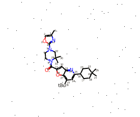 Cc1coc(N2CCN(C(=O)c3cc4nc(C5CCC(C)(C)CC5)cc(C(C)(C)C)c4o3)C(C)(C)C2)n1